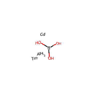 OB(O)O.[AlH3].[Gd].[Tm]